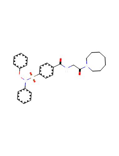 O=C(NCC(=O)N1CCCCCCC1)c1ccc(S(=O)(=O)N(Oc2ccccc2)c2ccccc2)cc1